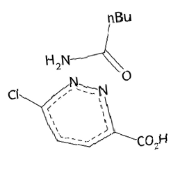 CCCCC(N)=O.O=C(O)c1ccc(Cl)nn1